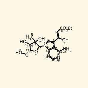 CCOC(=O)C=C(O)c1cn(C2O[C@H](CO)[C@@H](O)C2(C)O)c2ncnc(N)c12